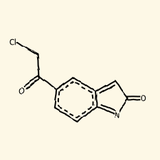 O=C1C=c2cc(C(=O)CCl)ccc2=N1